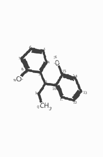 CCC(c1ccccc1[O])c1ccccc1[O]